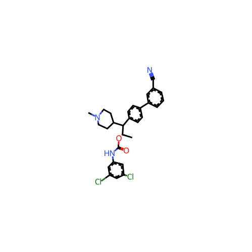 CC(OC(=O)Nc1cc(Cl)cc(Cl)c1)C(c1ccc(-c2cccc(C#N)c2)cc1)C1CCN(C)CC1